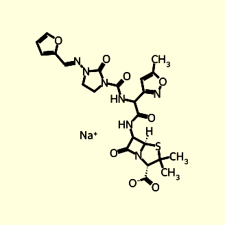 Cc1cc(C(NC(=O)N2CCN(/N=C/c3ccco3)C2=O)C(=O)NC2C(=O)N3[C@@H]2SC(C)(C)[C@@H]3C(=O)[O-])no1.[Na+]